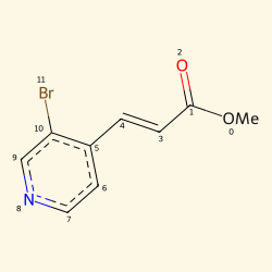 COC(=O)C=Cc1ccncc1Br